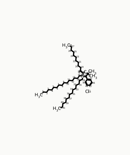 CCCCCCCCCCCCCCCC[N+](CCCCCCCCCCCC)(CCCCCCCCCCCCCC)C(c1ccccc1)C(C)(C)C.[Cl-]